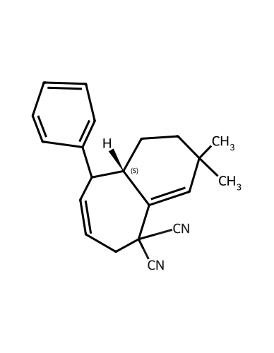 CC1(C)C=C2[C@@H](CC1)C(c1ccccc1)C=CCC2(C#N)C#N